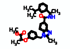 COC(=O)[C@H](C)Oc1cccc(Cn2c(C)nc3cc(C(=O)N[C@@H](C)c4cccc(C(C)C)c4)ccc32)c1